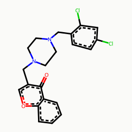 O=c1c(CN2CCN(Cc3ccc(Cl)cc3Cl)CC2)coc2ccccc12